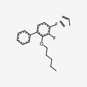 C=C.C=CC.CCCCCOc1c(-c2ccccc2)ccc(F)c1F